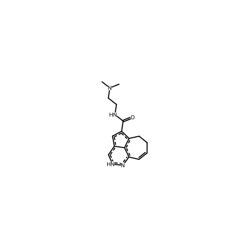 CN(C)CCNC(=O)c1cc2c[nH]nc3c-2c1CCC=C3